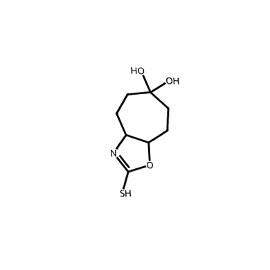 OC1(O)CCC2N=C(S)OC2CC1